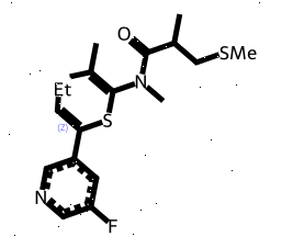 CC/C=C(\SC(=C(C)C)N(C)C(=O)C(C)CSC)c1cncc(F)c1